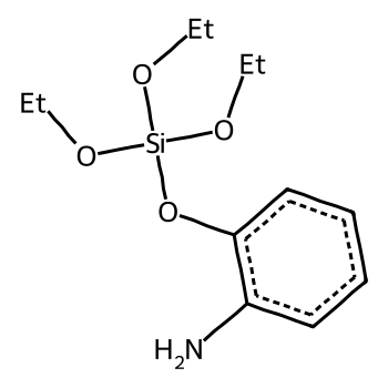 CCO[Si](OCC)(OCC)Oc1ccccc1N